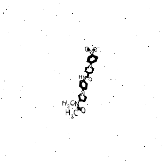 CC(=O)N(C)C1CCN(c2ccc(NC(=O)C3CCN(c4ccc([N+](=O)[O-])cc4)CC3)cc2)C1